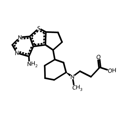 CN(CCC(=O)O)[C@H]1CCCC(C2CCc3sc4ncnc(N)c4c32)C1